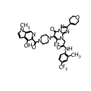 CCc1c(N2CCN(C(=O)c3ncc4c(ccn4C)c3O)CC2)c(=O)n2nc(C3=CCOCC3)nc2n1CC(=O)Nc1ccc(C(F)(F)F)cc1C